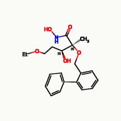 CCOCC[C@H](O)[C@](C)(OCc1ccccc1-c1ccccc1)C(=O)NO